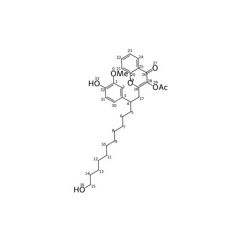 COc1cc(C(CCCCCCCCCCCO)Cc2oc3ccccc3c(=O)c2OC(C)=O)ccc1O